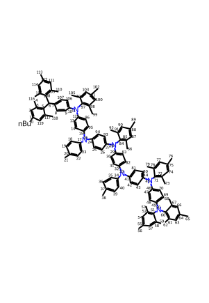 CCCCc1cc(C)c(C(c2ccc(N(c3ccc(N(c4ccc(C)cc4)c4ccc(N(c5ccc(N(c6ccc(C)cc6)c6ccc(N(c7ccc(N(c8c(C)cc(C)cc8C)c8c(C)cc(C)cc8C)cc7)c7c(C)cc(C)cc7C)cc6)cc5)c5c(C)cc(C)cc5C)cc4)cc3)c3c(C)cc(C)cc3C)cc2)c2c(C)cc(C)cc2C)c(C)c1